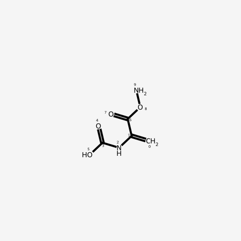 C=C(NC(=O)O)C(=O)ON